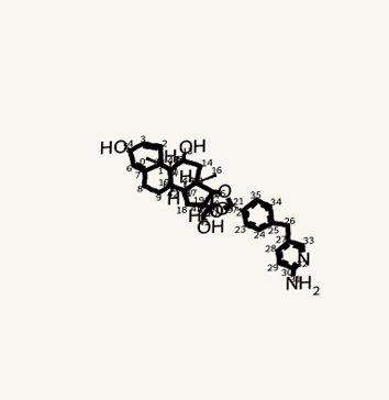 C[C@]12C=CC(O)C=C1CC[C@@H]1[C@@H]2[C@@H](O)C[C@@]2(C)[C@H]1C[C@H]1O[C@@H](c3ccc(Cc4ccc(N)nc4)cc3)O[C@]12C(=O)CO